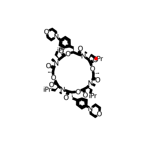 CC(C)C[C@H]1C(=O)O[C@H](Cc2ccc(N3CCOCC3)cc2)C(=O)N(C)[C@@H](CC(C)C)C(=O)O[C@H](C)C(=O)N(C)[C@@H](CC(C)C)C(=O)O[C@H](Cc2ccc(N3CCOCC3)cc2)C(=O)N(C)[C@@H](CC(C)C)C(=O)O[C@H](C)C(=O)N1C